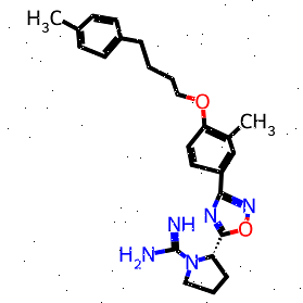 Cc1ccc(CCCCOc2ccc(-c3noc([C@@H]4CCCN4C(=N)N)n3)cc2C)cc1